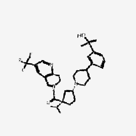 CC(C)[C@]1(C(=O)N2CCc3ncc(C(F)(F)F)cc3C2)CC[C@@H](N2CCC(c3cccc(C(C)(C)O)c3)CC2)C1